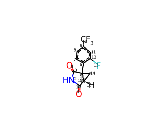 O=C1NC(=O)C2(c3ccc(C(F)(F)F)cc3F)C[C@H]12